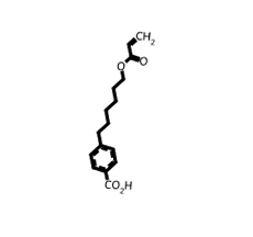 C=CC(=O)OCCCCCCc1ccc(C(=O)O)cc1